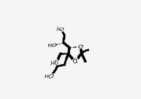 CC1(C)O[C@@H]([C@H](O)CO)[C@@](CO)(CCO)O1